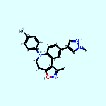 Cc1noc2c1-c1cc(-c3cnn(C)c3)ccc1N(c1ccc(C#N)cc1)CC2